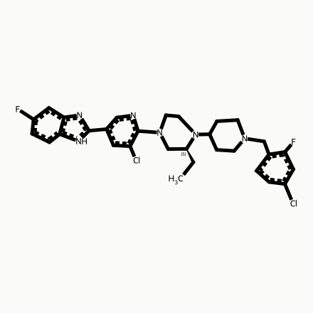 CC[C@H]1CN(c2ncc(-c3nc4cc(F)ccc4[nH]3)cc2Cl)CCN1C1CCN(Cc2ccc(Cl)cc2F)CC1